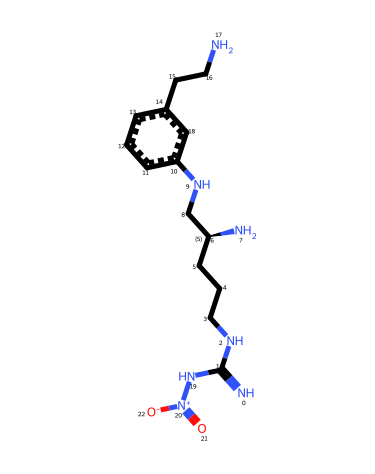 N=C(NCCC[C@H](N)CNc1cccc(CCN)c1)N[N+](=O)[O-]